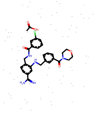 CC(=O)O.N=C(N)c1ccc(CNC(=O)c2cccc(Cl)c2)c(NCc2cccc(C(=O)N3CCOCC3)c2)c1